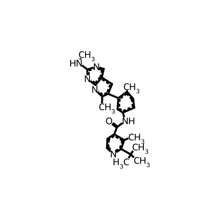 CNc1ncc2cc(-c3cc(NC(=O)c4ccnc(C(C)(C)C)c4C)ccc3C)c(C)nc2n1